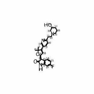 CC1(C)OC(=C2C(=O)Nc3cc(F)ccc32)C=C1c1ccc(CCN2CCCC(O)C2)nc1